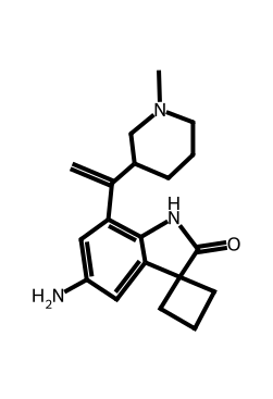 C=C(c1cc(N)cc2c1NC(=O)C21CCC1)C1CCCN(C)C1